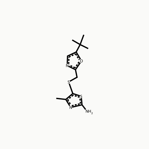 Cc1nc(N)sc1SCc1ncc(C(C)(C)C)o1